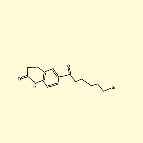 O=C1CCc2cc(C(=O)CCCCCBr)ccc2N1